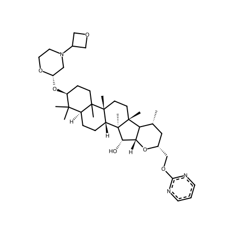 C[C@@H]1C[C@H](COc2ncccn2)O[C@H]2C1[C@@]1(C)CC[C@]3(C)[C@@H](CC[C@H]4C(C)(C)[C@@H](O[C@H]5CN(C6COC6)CCO5)CCC43C)[C@]1(C)[C@H]2O